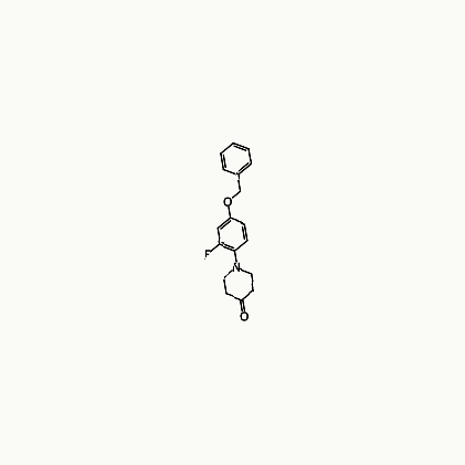 O=C1CCN(c2ccc(OCc3ccccc3)cc2F)CC1